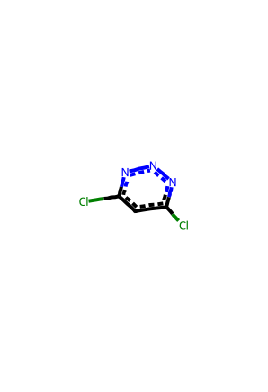 Clc1cc(Cl)nnn1